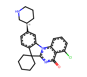 O=c1nc2n(c3cccc(Cl)c13)-c1cc([C@@H]3CCCNC3)ccc1C21CCCCC1